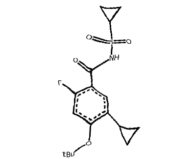 CC(C)(C)Oc1cc(F)c(C(=O)NS(=O)(=O)C2CC2)cc1C1CC1